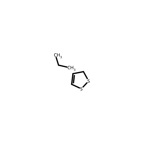 C1=CSSC1.CCC